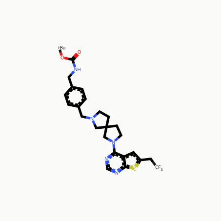 CC(C)(C)OC(=O)NCc1ccc(CN2CCC3(CCN(c4ncnc5sc(CC(F)(F)F)cc45)C3)C2)cc1